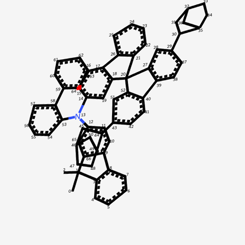 CC1(C)c2ccccc2-c2ccc(N(c3ccc4c(c3)C3(c5ccccc5-4)c4cc(C5CC6CCC5C6)ccc4-c4ccc(C5CC6CCC5C6)cc43)c3ccccc3-c3ccccc3)cc21